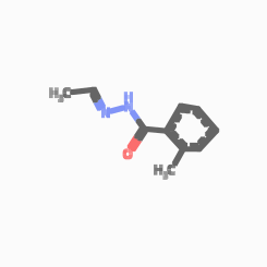 CC=NNC(=O)c1ccccc1C